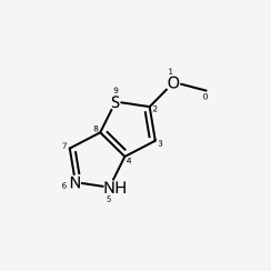 COc1cc2[nH]ncc2s1